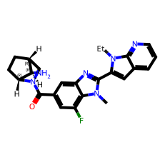 CCn1c(-c2nc3cc(C(=O)N4C[C@H]5CC[C@@H]4[C@@H]5N)cc(F)c3n2C)cc2cccnc21